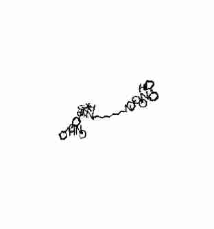 CC(C)(C)[Si](C)(C)O[C@@H](CNCCCCCCCCCN1CCC(OC(=O)Nc2ccccc2-c2ccccc2)CC1)c1ccc(OCc2ccccc2)c(NC=O)c1